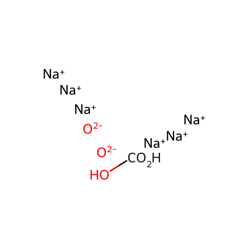 O=C(O)O.[Na+].[Na+].[Na+].[Na+].[Na+].[Na+].[O-2].[O-2]